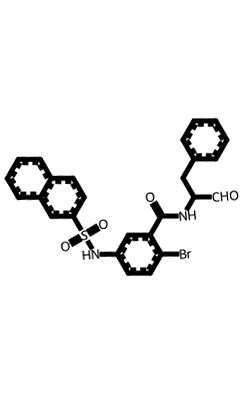 O=CC(Cc1ccccc1)NC(=O)c1cc(NS(=O)(=O)c2ccc3ccccc3c2)ccc1Br